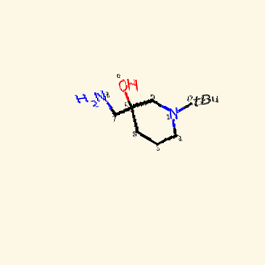 CC(C)(C)N1CCCC(O)(CN)C1